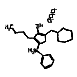 CCCCC1=C([SiH2]c2ccccc2)CC(CC2CCCCC2)=[C]1[Ti+3].[Cl-].[Cl-].[Cl-]